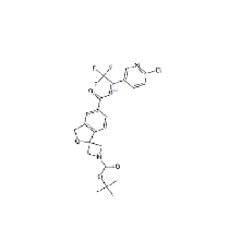 CC(C)(C)OC(=O)N1CC2(C1)OCc1cc(C(=O)/C=C(/c3ccc(Cl)nc3)C(F)(F)F)ccc12